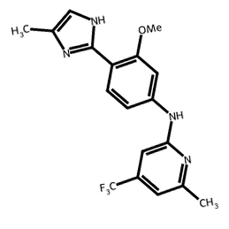 COc1cc(Nc2cc(C(F)(F)F)cc(C)n2)ccc1-c1nc(C)c[nH]1